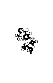 COC(=O)O[C@H]1CCCN1C(=O)c1cccc(Nc2c(NC(c3ccc(C)o3)C3(C)COC3)c(=O)c2=O)c1Cl